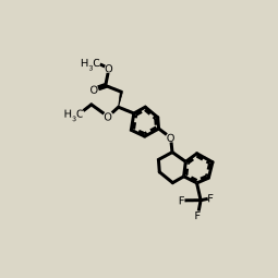 CCO[C@@H](CC(=O)OC)c1ccc(OC2CCCc3c2cccc3C(F)(F)F)cc1